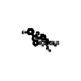 CC(C)(Sc1cnc(NC(=O)N(CC2CCCC2)c2cccc(Cl)c2)s1)C(=O)O